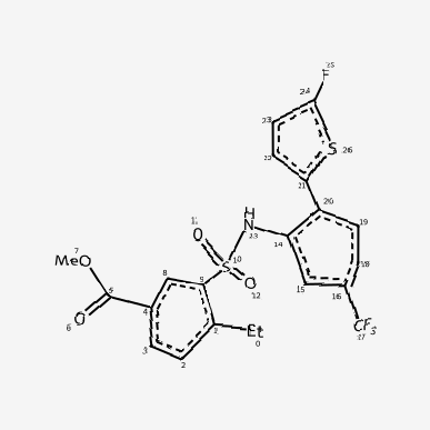 CCc1ccc(C(=O)OC)cc1S(=O)(=O)Nc1cc(C(F)(F)F)ccc1-c1ccc(F)s1